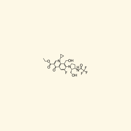 CCOC(=O)c1cn(C2CC2)c2c(CO)c(N3CC[C@@H](NC(=O)C(F)(F)F)[C@H]3CO)c(F)cc2c1=O